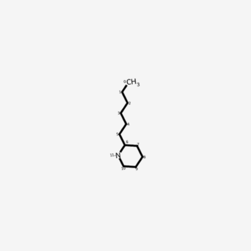 CCCCCCC1CCCC[N]1